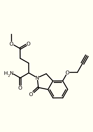 C#CCOc1cccc2c1CN(C(CCC(=O)OC)C(N)=O)C2=O